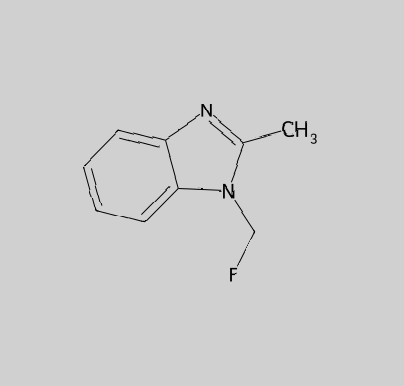 Cc1nc2ccccc2n1CF